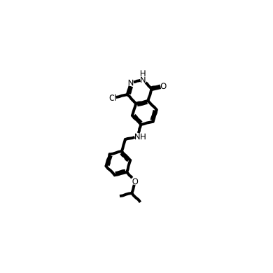 CC(C)Oc1cccc(CNc2ccc3c(=O)[nH]nc(Cl)c3c2)c1